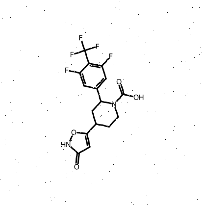 O=C(O)N1CCC(c2cc(=O)[nH]o2)CC1c1cc(F)c(C(F)(F)F)c(F)c1